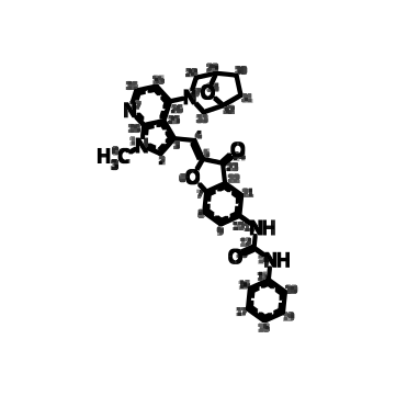 Cn1cc(C=C2Oc3ccc(NC(=O)Nc4ccccc4)cc3C2=O)c2c(N3CC4CCC(C3)O4)ccnc21